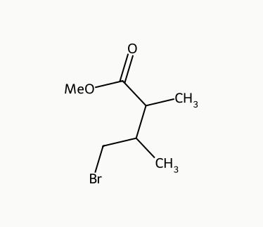 COC(=O)C(C)C(C)CBr